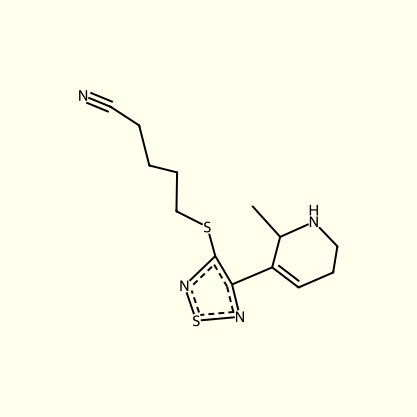 CC1NCCC=C1c1nsnc1SCCCCC#N